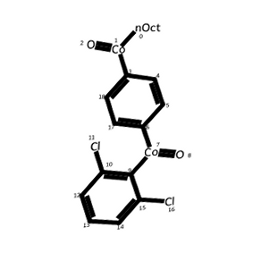 CCCCCCC[CH2][Co](=[O])[c]1cc[c]([Co](=[O])[c]2c(Cl)cccc2Cl)cc1